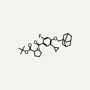 CC(C)(C)OC(=O)C1CCCN1C(=O)c1cc(C2CC2)c(OCC23CC4CC(CC(C4)C2)C3)cc1F